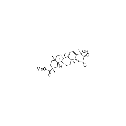 COC(=O)[C@]1(C)CC[C@]2(C)CC[C@]3(C)C4=CC=C5C(=CC(=O)C(=O)C5(C)O)[C@]4(C)CC[C@@]3(C)[C@@H]2C1